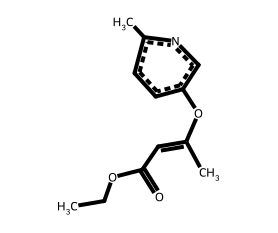 CCOC(=O)C=C(C)Oc1ccc(C)nc1